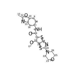 COc1c(C(=O)Nc2ccc3oc(C)nc3c2)sc2nc(N3CCOCC3)sc12